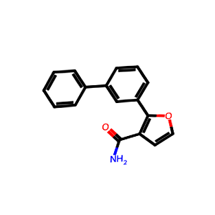 NC(=O)c1ccoc1-c1cccc(-c2ccccc2)c1